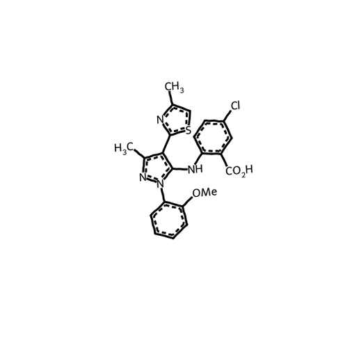 COc1ccccc1-n1nc(C)c(-c2nc(C)cs2)c1Nc1ccc(Cl)cc1C(=O)O